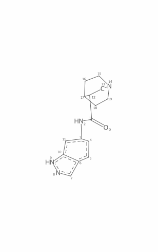 O=C(Nc1ccc2cn[nH]c2c1)C1CN2CCC1CC2